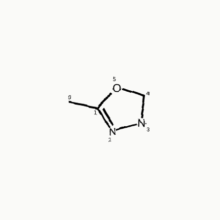 CC1=N[N]CO1